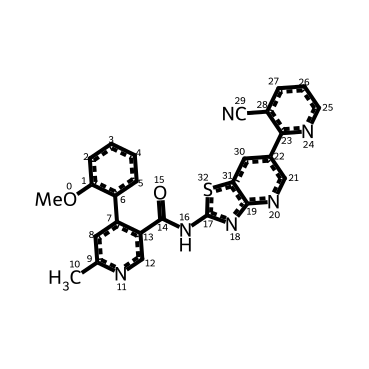 COc1ccccc1-c1cc(C)ncc1C(=O)Nc1nc2ncc(-c3ncccc3C#N)cc2s1